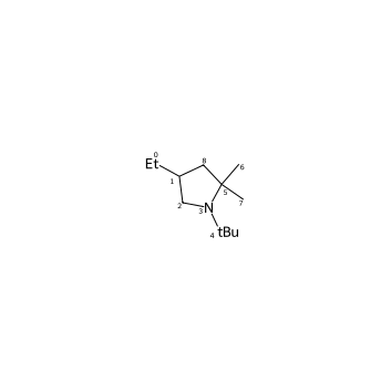 CCC1CN(C(C)(C)C)C(C)(C)C1